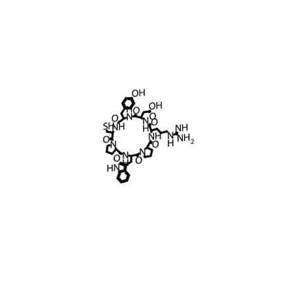 N=C(N)NCCCC1NC(=O)C2CCCN2C(=O)C(Cc2c[nH]c3ccccc23)NC(=O)C2CCCN2C(=O)C(CS)NC(=O)C(Cc2ccc(O)cc2)NC(=O)C(CC(=O)O)NC1=O